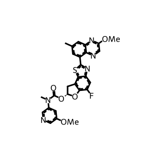 COc1cncc(N(C)C(=O)O[C@@H]2Cc3c(c(F)cc4nc(-c5cc(C)cc6nc(OC)cnc56)sc34)O2)c1